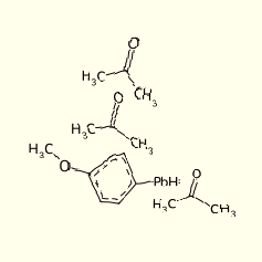 CC(C)=O.CC(C)=O.CC(C)=O.COc1cc[c]([PbH])cc1